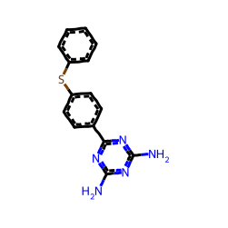 Nc1nc(N)nc(-c2ccc(Sc3ccccc3)cc2)n1